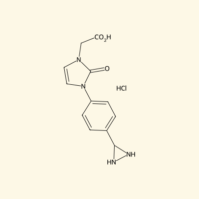 Cl.O=C(O)Cn1ccn(-c2ccc(C3NN3)cc2)c1=O